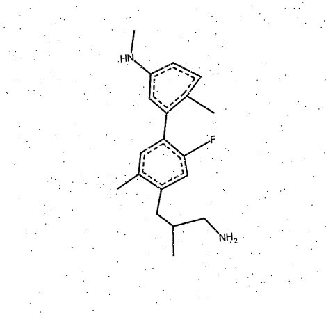 CNc1ccc(C)c(-c2cc(C)c(CC(C)CN)cc2F)c1